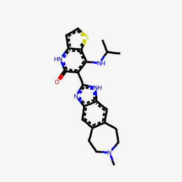 CC(C)Nc1c(-c2nc3cc4c(cc3[nH]2)CCN(C)CC4)c(=O)[nH]c2ccsc12